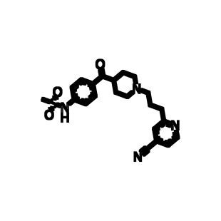 CS(=O)(=O)Nc1ccc(C(=O)C2CCN(CCCc3cc(C#N)ccn3)CC2)cc1